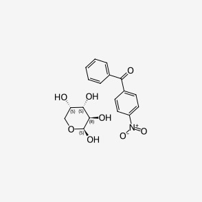 O=C(c1ccccc1)c1ccc([N+](=O)[O-])cc1.O[C@@H]1[C@@H](O)[C@@H](O)OC[C@@H]1O